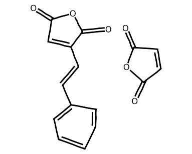 O=C1C=C(C=Cc2ccccc2)C(=O)O1.O=C1C=CC(=O)O1